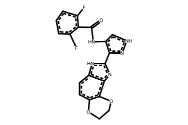 O=C(Nc1c[nH]nc1-c1nc2c3c(ccc2[nH]1)OCCO3)c1c(F)cccc1F